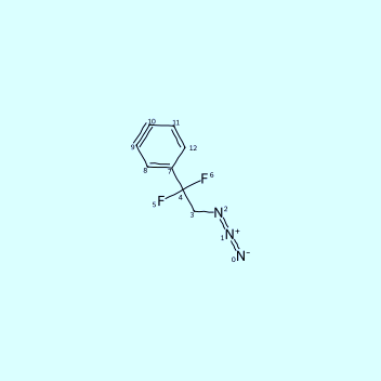 [N-]=[N+]=NCC(F)(F)c1cc#ccc1